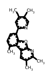 Cc1cnc(-c2ccc(C)c3c2oc2nc(C)c(C)cc23)cc1C